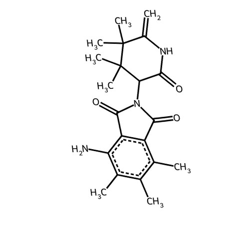 C=C1NC(=O)C(N2C(=O)c3c(C)c(C)c(C)c(N)c3C2=O)C(C)(C)C1(C)C